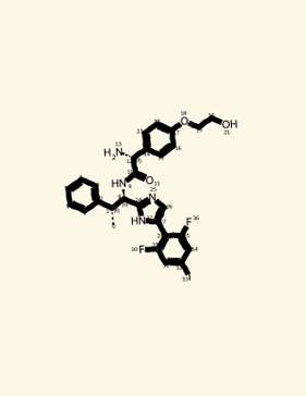 C[C@H](c1ccccc1)[C@H](NC(=O)[C@H](N)c1ccc(OCCO)cc1)c1ncc(-c2c(F)cc(I)cc2F)[nH]1